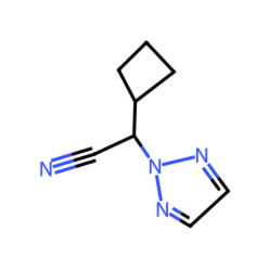 N#CC(C1CCC1)n1nccn1